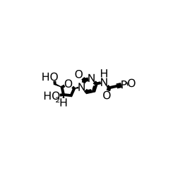 [2H][C@]1(O)C[C@H](n2ccc(NC(=O)C#P=O)nc2=O)O[C@@H]1CO